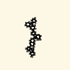 c1ccc(-n2c3ccccc3c3cc(-c4ccc5c(c4)c4ccccc4n5-c4ccc5cc(-c6cccc7c6oc6ccccc67)ccc5c4)ccc32)cc1